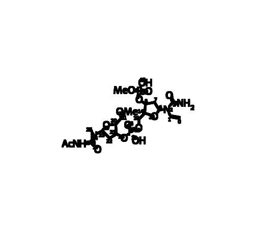 C=CN(C(N)=O)C1CC(OP(=O)(O)OC)C(COP(=O)(O)OC2CC(N(C)C(=O)NC(C)=O)OC2COC)O1